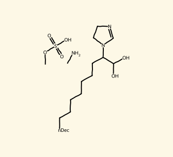 CCCCCCCCCCCCCCCCCC(C(O)O)N1C=NCC1.CN.COS(=O)(=O)O